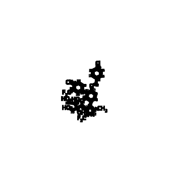 Cn1nc(C(F)(F)F)cc1-c1ccc(OCc2ccc(Cl)cc2)c(-c2ccc(Cl)c(C(F)(F)F)c2)c1OC(=O)C(O)(CO)C(O)CO